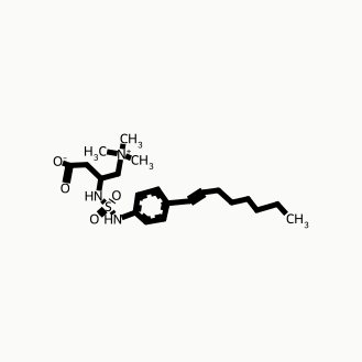 CCCCCCC#Cc1ccc(NS(=O)(=O)NC(CC(=O)[O-])C[N+](C)(C)C)cc1